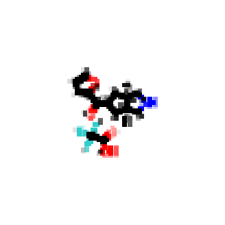 O=C(O)C(F)(F)F.O=C(c1ccco1)C1C[C@H]2CNC[C@H]2C1